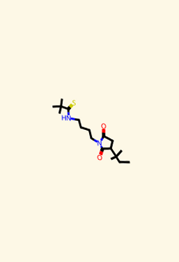 CCC(C)(C)C1CC(=O)N(CCCCNC(=S)C(C)(C)C)C1=O